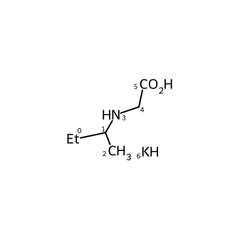 CCC(C)NCC(=O)O.[KH]